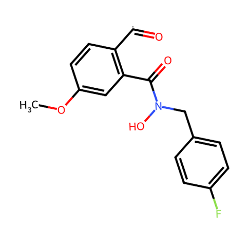 COc1ccc([C]=O)c(C(=O)N(O)Cc2ccc(F)cc2)c1